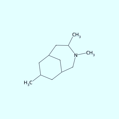 CC1CC2CC(C1)CN(C)C(C)C2